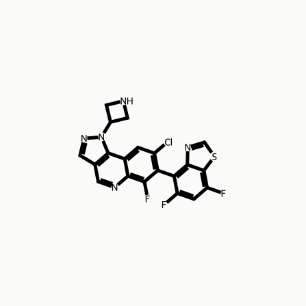 Fc1cc(F)c2scnc2c1-c1c(Cl)cc2c(ncc3cnn(C4CNC4)c32)c1F